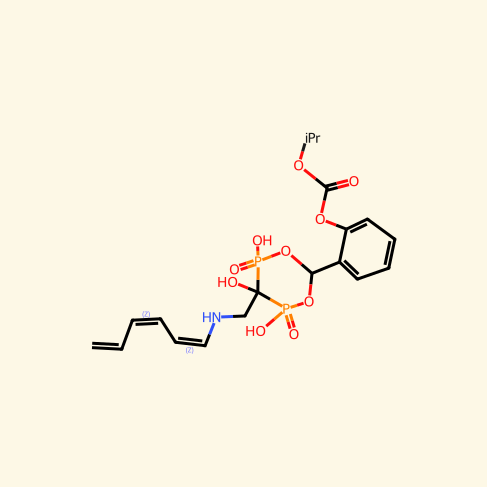 C=C/C=C\C=C/NCC1(O)P(=O)(O)OC(c2ccccc2OC(=O)OC(C)C)OP1(=O)O